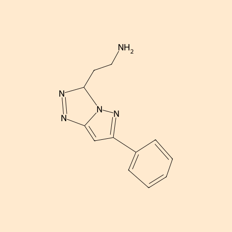 NCCC1N=Nc2cc(-c3ccccc3)nn21